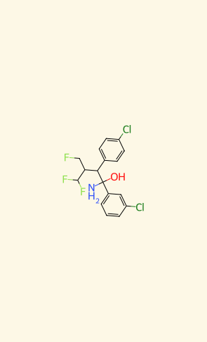 NC(O)(c1cccc(Cl)c1)C(c1ccc(Cl)cc1)C(CF)C(F)F